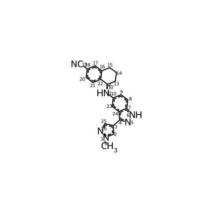 Cn1cc(-c2n[nH]c3ccc(N[C@@H]4CCCc5cc(C#N)ccc54)cc23)cn1